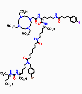 O=C(O)CC[C@H](NC(=O)N[C@@H](CCCCN(Cc1ccc(Br)cc1)C(=O)CCCCCCC(=O)NCCCC[C@H](NC(=O)[C@H](CCCCNC(=O)CCCc1ccc(I)cc1)NC(=O)CN1CCN(CC(=O)O)CCN(CC(=O)O)CCN(CC(=O)O)CC1)C(=O)O)C(=O)O)C(=O)O